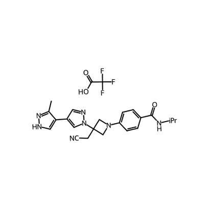 Cc1n[nH]cc1-c1cnn(C2(CC#N)CN(c3ccc(C(=O)NC(C)C)cc3)C2)c1.O=C(O)C(F)(F)F